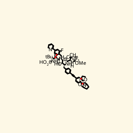 COC(=O)N[C@H](C(=O)N[C@@H](Cc1ccc(C#Cc2ccc(N3CC4CCC(C3)N4C(=O)[C@@H]3CCCO3)nc2)cc1)[C@@H](O)CN(Cc1c(F)cc(-c2ccccn2)cc1F)NC(=O)[C@@H](NC(=O)O)C(C)(C)C)C(C)(C)C(F)(F)F